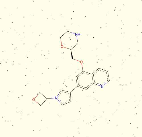 c1cnc2cc(-c3ccn(C4COC4)c3)cc(OC[C@@H]3CNCCO3)c2c1